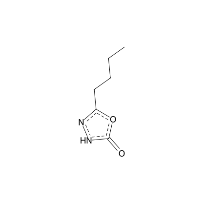 CCCCc1n[nH]c(=O)o1